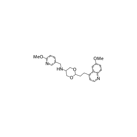 COc1ccc2nccc(CCC3OCC(NCc4ccc(OC)nc4)CO3)c2c1